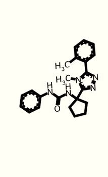 Cc1ccccc1-c1nnc(C2(NC(=O)Nc3ccccc3)CCCC2)n1C